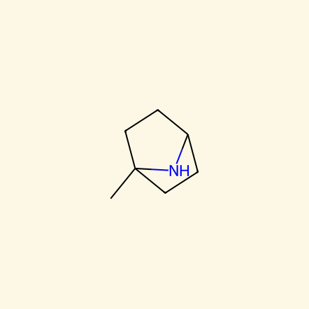 CC12CCC(CC1)N2